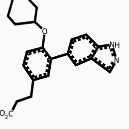 O=C(O)CCc1ccc(OC2CCCCC2)c(-c2ccc3[nH]ncc3c2)c1